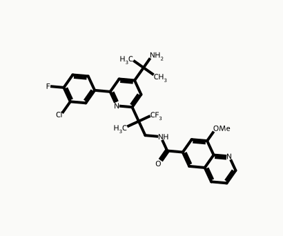 COc1cc(C(=O)NCC(C)(c2cc(C(C)(C)N)cc(-c3ccc(F)c(Cl)c3)n2)C(F)(F)F)cc2cccnc12